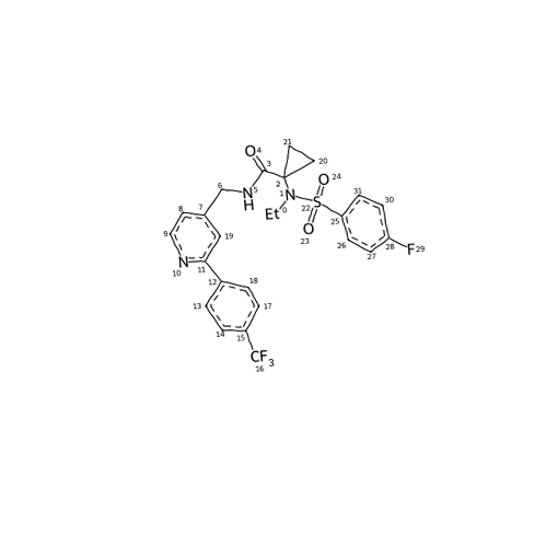 CCN(C1(C(=O)NCc2ccnc(-c3ccc(C(F)(F)F)cc3)c2)CC1)S(=O)(=O)c1ccc(F)cc1